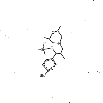 CC1CN(CC(C)C(O[Si](C)(C)C)c2ccc(C(C)(C)C)cc2)CC(C)O1